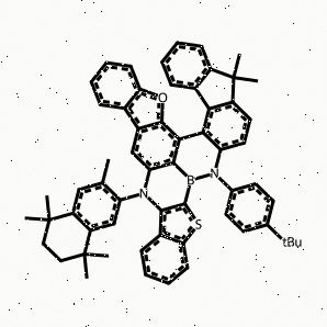 Cc1cc2c(cc1N1c3cc4c(oc5ccccc54)c4c3B(c3sc5ccccc5c31)N(c1ccc(C(C)(C)C)cc1)c1ccc3c(c1-4)-c1ccccc1C3(C)C)C(C)(C)CCC2(C)C